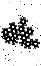 CC1(C)c2cc(N(c3ccc(-c4ccccc4)cc3)c3cc4c(c5cc6ccccc6cc35)-c3c(ccc5oc6ccccc6c35)C4(C)C)c3cc4ccccc4cc3c2-c2c1ccc1c2oc2ccccc21